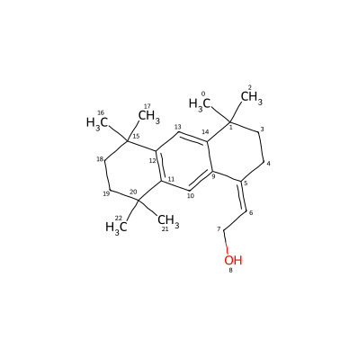 CC1(C)CC/C(=C/CO)c2cc3c(cc21)C(C)(C)CCC3(C)C